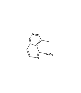 CNc1nccc2cncc(C)c12